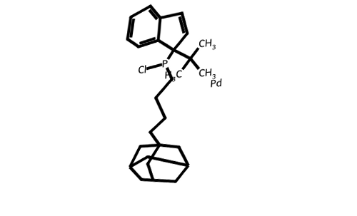 CC(C)(C)C1(P(Cl)CCCCC23CC4CC(CC(C4)C2)C3)C=Cc2ccccc21.[Pd]